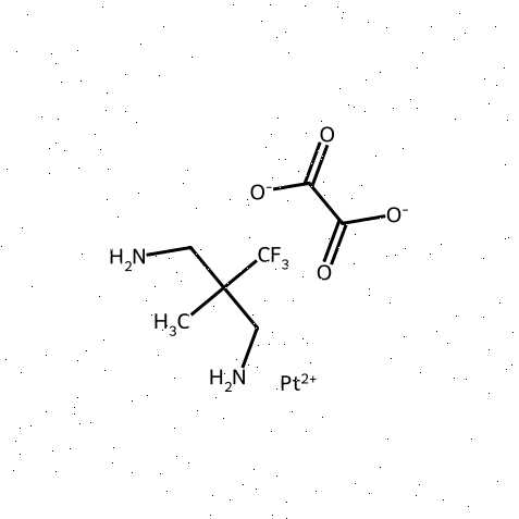 CC(CN)(CN)C(F)(F)F.O=C([O-])C(=O)[O-].[Pt+2]